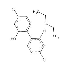 CCOCC.Oc1cc(Cl)ccc1-c1ccc(Cl)cc1Cl